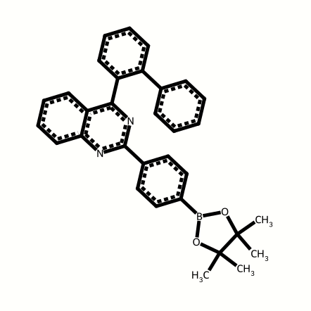 CC1(C)OB(c2ccc(-c3nc(-c4ccccc4-c4ccccc4)c4ccccc4n3)cc2)OC1(C)C